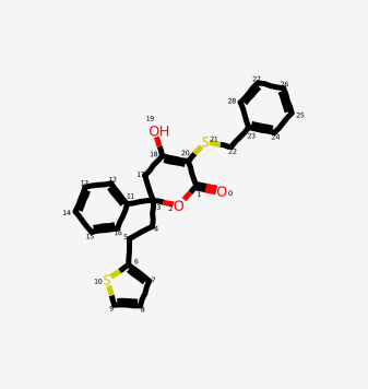 O=C1OC(CCc2cccs2)(c2ccccc2)CC(O)=C1SCc1ccccc1